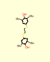 CC(C)(C)c1cc(SCCSc2cc(C(C)(C)C)c(O)c(C(C)(C)C)c2)cc(C(C)(C)C)c1O